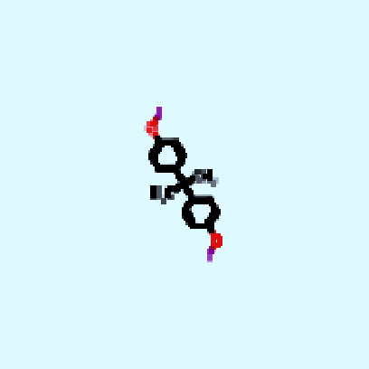 CC(C)(c1ccc(OI)cc1)c1ccc(OI)cc1